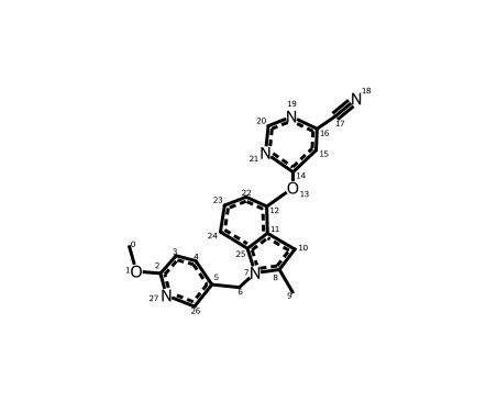 COc1ccc(Cn2c(C)cc3c(Oc4cc(C#N)ncn4)cccc32)cn1